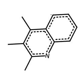 Cc1nc2ccc[c]c2c(C)c1C